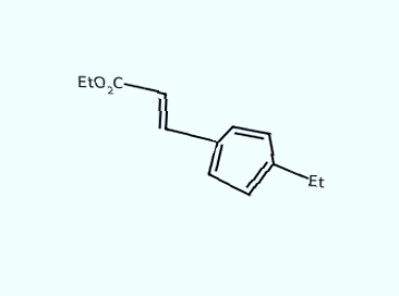 CCOC(=O)/C=C/c1ccc(CC)cc1